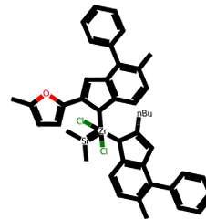 CCCCC1=Cc2c(ccc(C)c2-c2ccccc2)[CH]1[Zr]([Cl])([Cl])([CH]1C(c2ccc(C)o2)=Cc2c1ccc(C)c2-c1ccccc1)=[Si](C)C